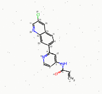 C=CC(=O)Nc1ccnc(-c2ccc3cc(Cl)cnc3c2)c1